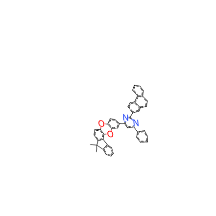 CC1(C)c2ccccc2-c2c1ccc1c2Oc2cc(-c3cc(-c4ccccc4)nc(-c4ccc5c(ccc6ccccc65)c4)n3)ccc2O1